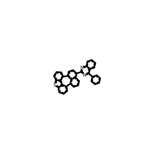 c1ccc(-c2nc(-c3ccc4c5c(cccc35)-c3cccc5sc6cccc-4c6c35)nc3ccccc23)cc1